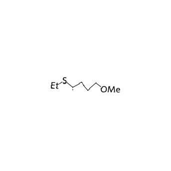 CCS[CH]CCCOC